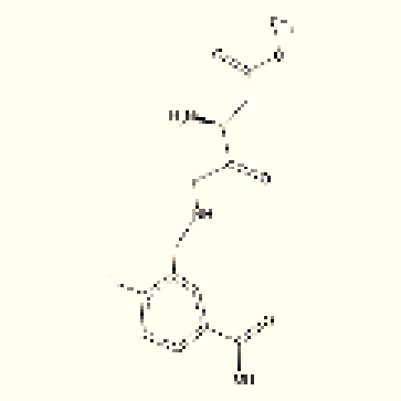 COC(=O)C[C@H](N)C(=O)CNCc1cc(C(=O)O)ccc1F